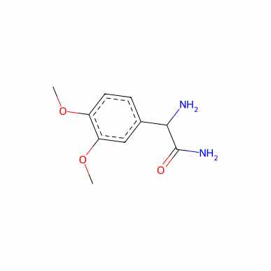 COc1ccc(C(N)C(N)=O)cc1OC